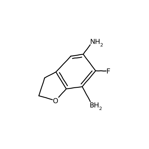 Bc1c(F)c(N)cc2c1OCC2